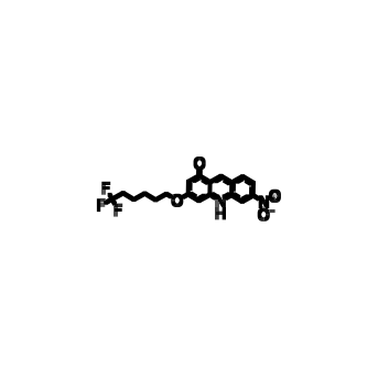 O=c1cc(OCCCCCC(F)(F)F)cc2[nH]c3cc([N+](=O)[O-])ccc3cc1-2